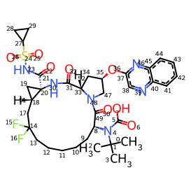 CC(C)(C)N(C(=O)O)[C@H]1CCCCCC(F)(F)C[C@@H]2C[C@@]2(C(=O)NS(=O)(=O)C2CC2)NC(=O)[C@@H]2C[C@@H](Oc3cnc4ccccc4n3)CN2C1=O